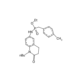 CCCCN1C(=O)CCc2cc(NP(=O)(Cc3ccc(C)cc3)OCC)ccc21